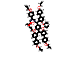 C=C/C=C(\C=C(/OCC=C)C(c1ccc(C(c2cc(-c3ccc(OCC=C)cc3)ccc2OCC=C)c2cc(-c3ccc(OCC=C)cc3)ccc2OCC=C)cc1)c1cc(-c2ccc(OCC=C)cc2)ccc1OCC=C)c1ccc(OCC=C)cc1